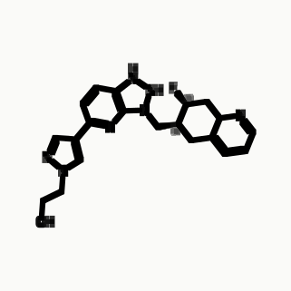 OCCn1cc(-c2ccc3c(n2)N(C[C@@H]2CC4=C=CC=NC4C[C@@H]2F)NN3)cn1